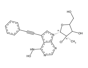 C[C@@]1(Cl)C(O)C(CO)O[C@H]1n1cc(C#Cc2ccccc2)c2c(NO)ncnc21